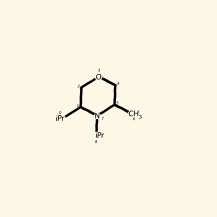 CC(C)C1COCC(C)N1C(C)C